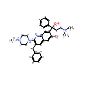 CN(C)CCC(O)(c1ccccc1)c1cc2nc(N3CCN(C)CC3)c(Cc3ccccc3)cc2cc1Br